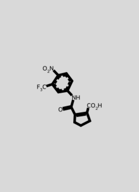 O=C(O)C1=C(C(=O)Nc2ccc([N+](=O)[O-])c(C(F)(F)F)c2)CCC1